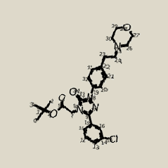 CC(C)(C)OC(=O)Cn1c(-c2cccc(Cl)c2)nn(-c2ccc(CCN3CCOCC3)cc2)c1=O